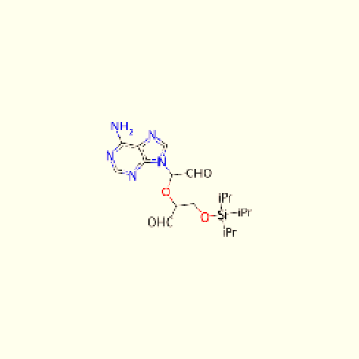 CC(C)[Si](OCC(C=O)OC(C=O)n1cnc2c(N)ncnc21)(C(C)C)C(C)C